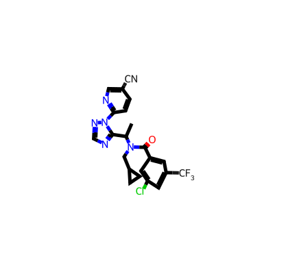 CC(c1ncnn1-c1ccc(C#N)cn1)N(CC1CC1)C(=O)c1cc(Cl)cc(C(F)(F)F)c1